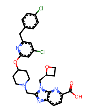 O=C(O)c1ccc2nc(CN3CCC(Oc4cc(Cl)cc(Cc5ccc(Cl)cc5)n4)CC3)n(C[C@@H]3CCO3)c2n1